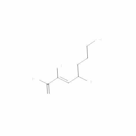 CCCCC(C)/C=C(\C)C(=O)O